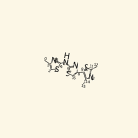 Cc1csc(Nc2nc(-c3sc(C)nc3C)cs2)n1